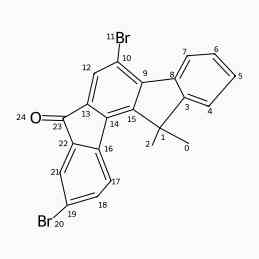 CC1(C)c2ccccc2-c2c(Br)cc3c(c21)-c1ccc(Br)cc1C3=O